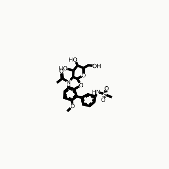 COc1cccc(OC2OC(CO)C(O)C(O)C2NC(C)=O)c1-c1cccc(NS(C)(=O)=O)c1